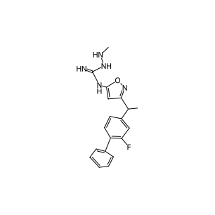 CNNC(=N)Nc1cc(C(C)c2ccc(-c3ccccc3)c(F)c2)no1